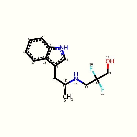 C[C@@H](Cc1c[nH]c2ccccc12)NCC(F)(F)CO